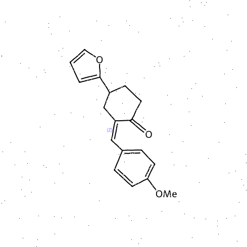 COc1ccc(/C=C2/CC(c3ccco3)CCC2=O)cc1